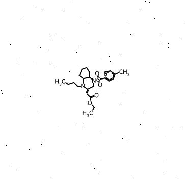 CCCCN1/C(=C/C(=O)OCC)CN(S(=O)(=O)c2ccc(C)cc2)C2CCCCC21